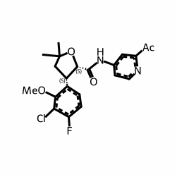 COc1c([C@@H]2CC(C)(C)O[C@@H]2C(=O)Nc2ccnc(C(C)=O)c2)ccc(F)c1Cl